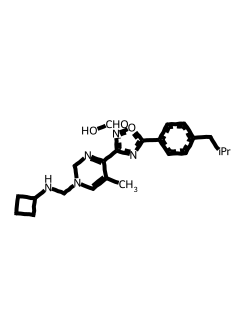 CC1=CN(CNC2CCC2)CN=C1c1noc(-c2ccc(CC(C)C)cc2)n1.O=CO